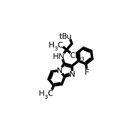 Cc1ccn2c(NC(C)(C)CC(C)(C)C)c(-c3ccccc3F)nc2c1